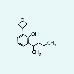 CCCC(C)c1cccc(C2COC2)c1O